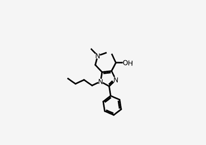 CCCCn1c(-c2ccccc2)nc(C(C)O)c1CN(C)C